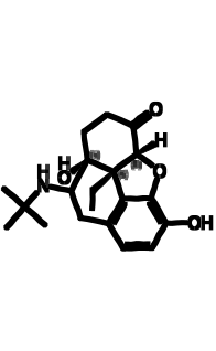 CC[C@]12c3c4ccc(O)c3O[C@H]1C(=O)CC[C@@]2(O)C(NC(C)(C)C)C4